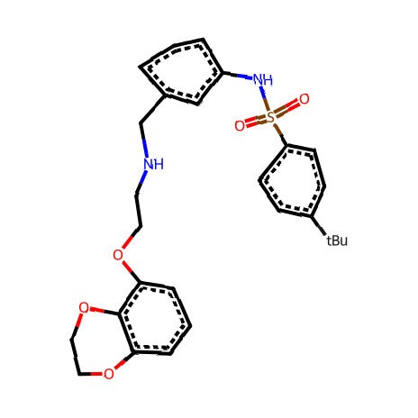 CC(C)(C)c1ccc(S(=O)(=O)Nc2cccc(CNCCOc3cccc4c3OCCO4)c2)cc1